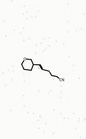 N#CCCC/C=C/C1CCCOC1